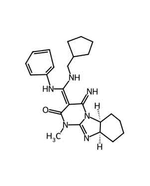 Cn1c(=O)/c(=C(/NCC2CCCC2)Nc2ccccc2)c(=N)n2c1=N[C@@H]1CCCC[C@@H]12